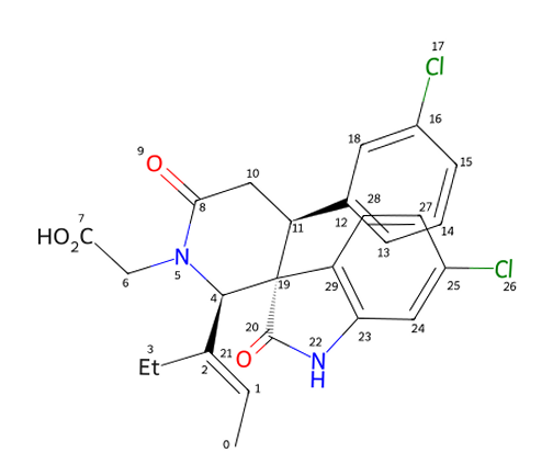 CC=C(CC)[C@H]1N(CC(=O)O)C(=O)C[C@@H](c2cccc(Cl)c2)[C@]12C(=O)Nc1cc(Cl)ccc12